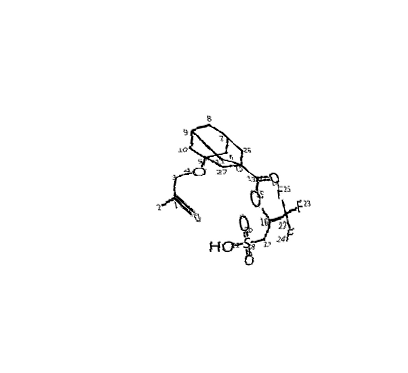 C=C(C)COC12CC3CC(C1)CC(C(=O)OC(CS(=O)(=O)O)C(F)(F)F)(C3)C2